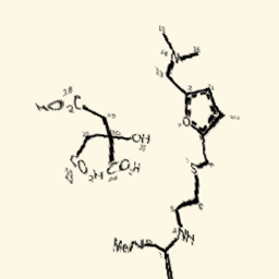 CN/C(=C/[N+](=O)[O-])NCCSCc1ccc(CN(C)C)o1.O=C(O)CC(O)(CC(=O)O)C(=O)O